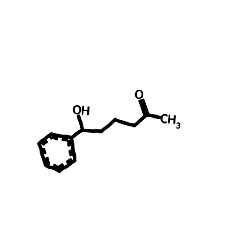 CC(=O)CCCC(O)c1ccccc1